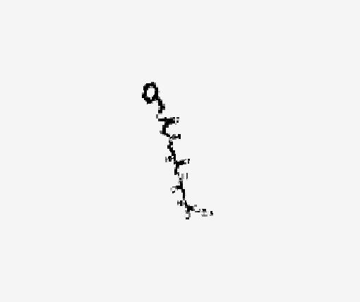 CC(C)(C)OC(=O)NCC(=O)NCC(=O)NCCNCC(=O)OCc1ccccc1